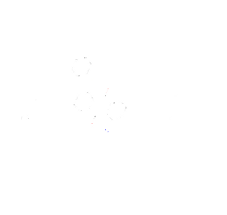 CC(CCc1cc(N)c2c(c1O)C(=O)c1c(Sc3ccccc3)cc(CCC(C)CC(C)(C)C)c(O)c1C2=O)CC(C)(C)C